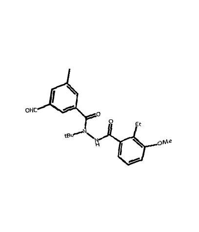 CCc1c(OC)cccc1C(=O)NN(C(=O)c1cc(C)cc(C=O)c1)C(C)(C)C